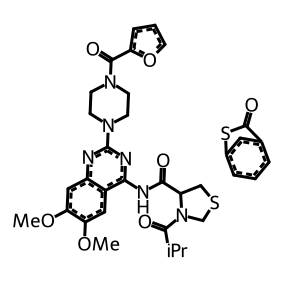 COc1cc2nc(N3CCN(C(=O)c4ccco4)CC3)nc(NC(=O)C3CSCN3C(=O)C(C)C)c2cc1OC.O=C1Sc2cccc1c2